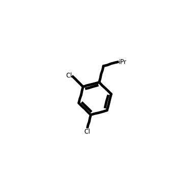 CC(C)Cc1ccc(Cl)cc1Cl